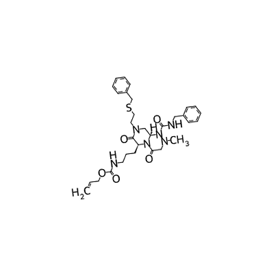 C=CCOC(=O)NCCC[C@H]1C(=O)N(CCSCc2ccccc2)C[C@H]2N1C(=O)CN(C)N2C(=O)NCc1ccccc1